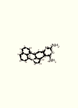 Nc1nc(N)c2c(cc3c4cccc5cccc(c54)n4ccc2c34)n1